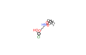 CC(C)(C)OC(=O)NCCCCCOc1ccc(Cl)cc1CO